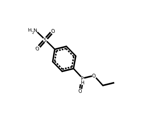 CCO[PH](=O)c1ccc(S(N)(=O)=O)cc1